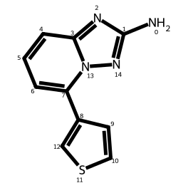 Nc1nc2cccc(-c3ccsc3)n2n1